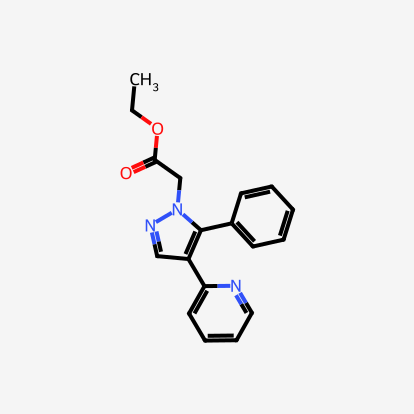 CCOC(=O)Cn1ncc(-c2ccccn2)c1-c1ccccc1